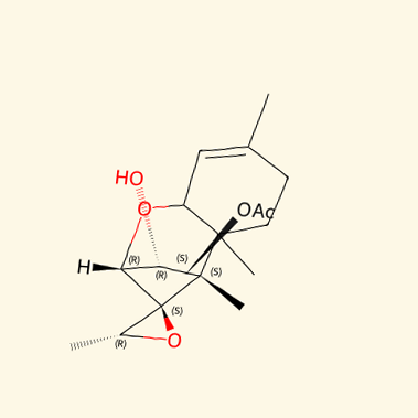 CC(=O)O[C@@H]1[C@@H](O)[C@H]2OC3C=C(C)CCC3(C)[C@]1(C)[C@@]21O[C@@H]1C